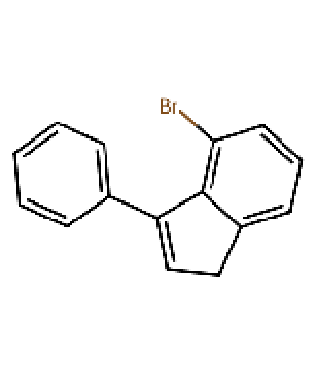 Brc1cccc2c1C(c1ccccc1)=CC2